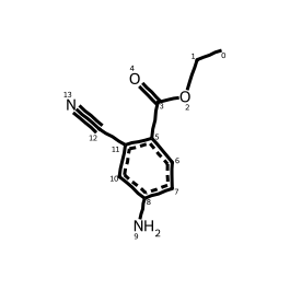 CCOC(=O)c1ccc(N)cc1C#N